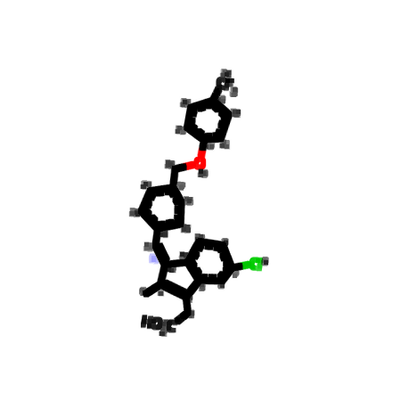 CC1=C(CC(=O)O)c2cc(Cl)ccc2/C1=C\c1ccc(COc2ccc(C(F)(F)F)cc2)cc1